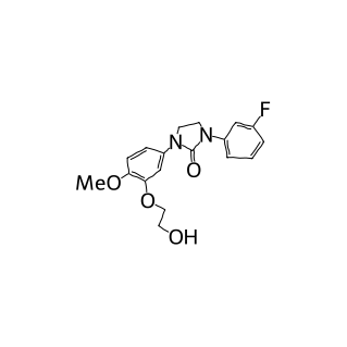 COc1ccc(N2CCN(c3cccc(F)c3)C2=O)cc1OCCO